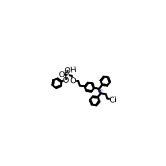 O=P(O)(COCCc1ccc(/C(=C(/CCCl)c2ccccc2)c2ccccc2)cc1)Oc1ccccc1